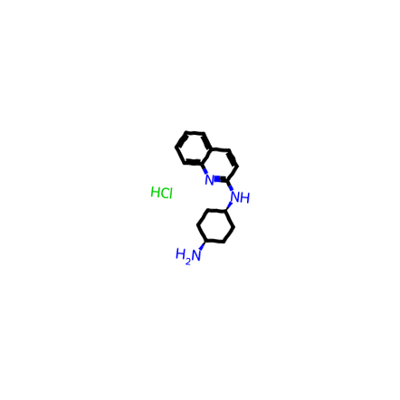 Cl.N[C@H]1CC[C@@H](Nc2ccc3ccccc3n2)CC1